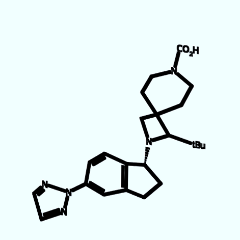 CC(C)(C)C1N([C@@H]2CCc3cc(-n4nccn4)ccc32)CC12CCN(C(=O)O)CC2